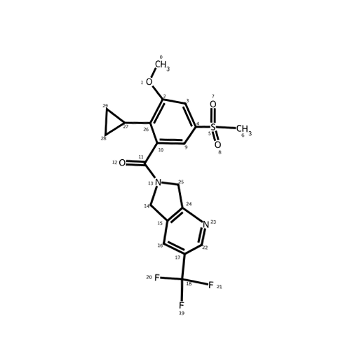 COc1cc(S(C)(=O)=O)cc(C(=O)N2Cc3cc(C(F)(F)F)cnc3C2)c1C1CC1